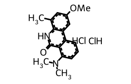 COc1cc(C)c2[nH]c(=O)c3c(N(C)C)cccc3c2c1.Cl.Cl